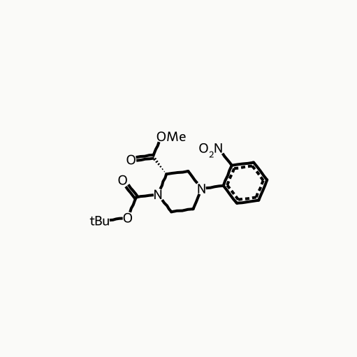 COC(=O)[C@@H]1CN(c2ccccc2[N+](=O)[O-])CCN1C(=O)OC(C)(C)C